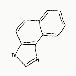 c1ccc2c(c1)ccc1[te]cnc12